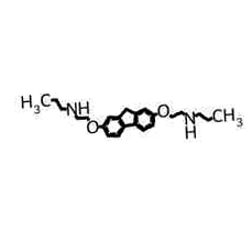 CCCNCCOc1ccc2c(c1)Cc1cc(OCCNCCC)ccc1-2